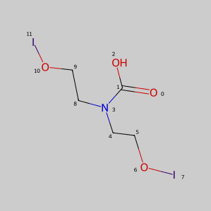 O=C(O)N(CCOI)CCOI